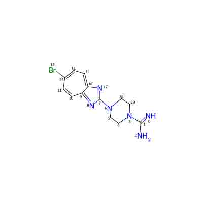 N=C(N)N1CCN(c2nc3ccc(Br)ccc-3n2)CC1